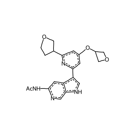 CC(=O)Nc1cc2c(-c3cc(OC4COC4)cc(C4CCOC4)n3)c[nH]c2cn1